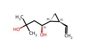 C=C[C@@H]1C[C@H]1[C@@H](O)CC(C)(C)O